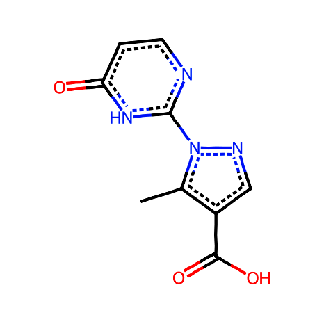 Cc1c(C(=O)O)cnn1-c1nccc(=O)[nH]1